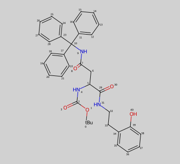 CC(C)(C)OC(=O)NC(CC(=O)NC(c1ccccc1)(c1ccccc1)c1ccccc1)C(=O)NCCc1ccccc1O